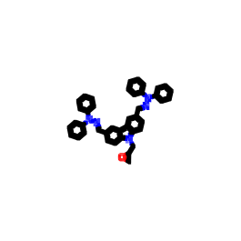 C(=NN(c1ccccc1)c1ccccc1)c1ccc2c(c1)c1cc(C=NN(c3ccccc3)c3ccccc3)ccc1n2CC1CO1